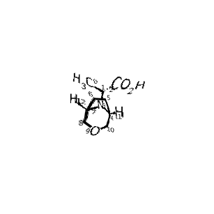 C[C@H](C(=O)O)N1[C@@H]2CC[C@H]1COC2